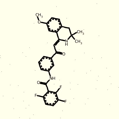 COc1ccc2c(c1)C(=CC(=O)c1cccc(NC(=O)c3c(F)ccc(F)c3F)c1)NC(C)(C)C2